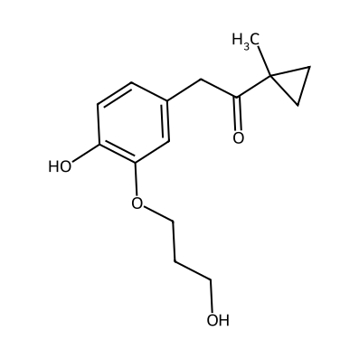 CC1(C(=O)Cc2ccc(O)c(OCCCO)c2)CC1